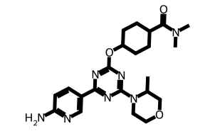 CC1COCCN1c1nc(OC2CCC(C(=O)N(C)C)CC2)nc(-c2ccc(N)nc2)n1